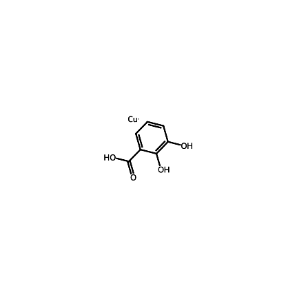 O=C(O)c1cccc(O)c1O.[Cu]